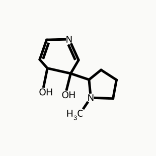 CN1CCCC1C1(O)C=NC=CC1O